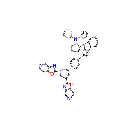 c1ccc(N2c3ccccc3C3(c4ccccc4-c4ccc(-c5ccc(-c6cc(-c7nc8cnccc8o7)cc(-c7nc8cnccc8o7)c6)cc5)cc43)c3ccccc32)cc1